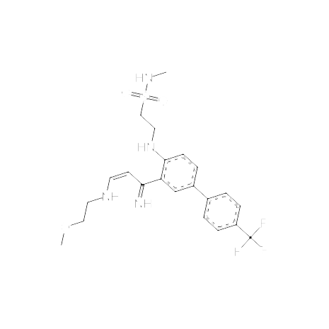 CNS(=O)(=O)CCNc1ccc(-c2ccc(C(F)(F)F)cc2)cc1C(=N)/C=C\NCCOC